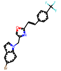 FC(F)(F)c1ccc(C=Cc2nc(Cn3ccc4cc(Br)ccc43)co2)cc1